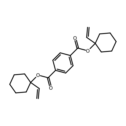 C=CC1(OC(=O)c2ccc(C(=O)OC3(C=C)CCCCC3)cc2)CCCCC1